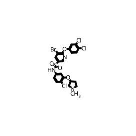 CN1CCC(Oc2cc(NS(=O)(=O)c3cnc(Oc4ccc(Cl)c(Cl)c4)c(Br)c3)ccc2Cl)C1